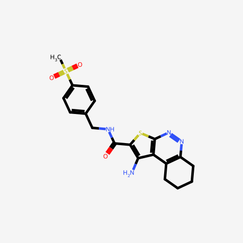 CS(=O)(=O)c1ccc(CNC(=O)c2sc3nnc4c(c3c2N)CCCC4)cc1